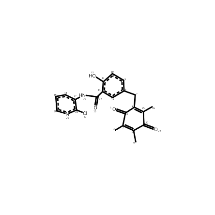 CC1=C(C)C(=O)C(Cc2ccc(O)c(C(=O)Nc3cccnc3Cl)c2)=C(C)C1=O